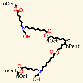 CCCCCCCCCCCOC(=O)CCCCCN(CCO)CCCCCCCC(=O)OC(CCCCCCCC)CCCCCC(CC)C(CCCCC)CCCOC(=O)CCCCCCCN(CCO)CCCCCC(=O)OC(CCCCCCCC)CCCCCCCC